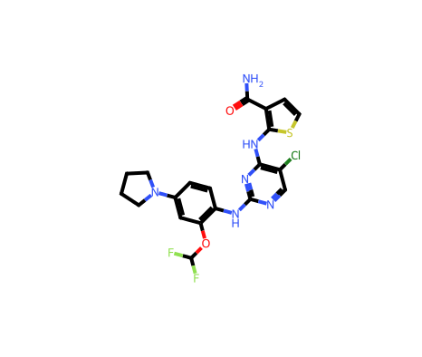 NC(=O)c1ccsc1Nc1nc(Nc2ccc(N3CCCC3)cc2OC(F)F)ncc1Cl